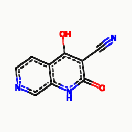 N#Cc1c(O)c2ccncc2[nH]c1=O